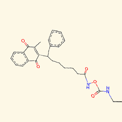 CCNC(=O)ONC(=O)CCCCCC(C1=C(C)C(=O)c2ccccc2C1=O)c1ccccc1